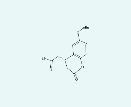 CCCCOc1ccc2c(c1)[C@@H](CC(=O)CC)CC(=O)O2